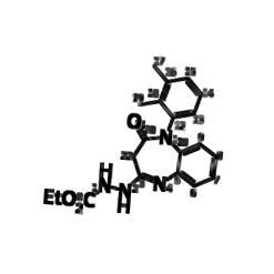 CCOC(=O)NNC1=Nc2ccccc2N(c2cccc(C)c2C)C(=O)C1